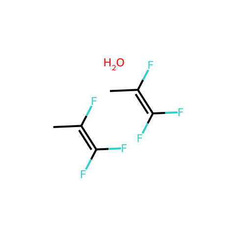 CC(F)=C(F)F.CC(F)=C(F)F.O